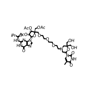 CC(=O)OC[C@@]1(COCCOCCOCCN2C[C@H](n3cc(C)c(=O)[nH]c3=O)OC(CO)(CO)C2)O[C@@H](n2cnc3c(=O)[nH]c(NC(=O)C(C)C)nc32)[C@H](OC(C)=O)[C@@H]1OC(C)=O